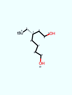 CC(C)(C)C[C@H](CCO)CCCCO